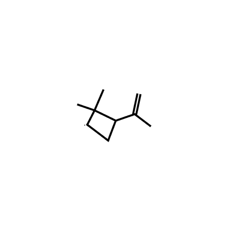 C=C(C)C1C[CH]C1(C)C